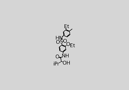 CCOc1cc(NC(=O)[C@@H](O)C(C)C)ccc1S(=O)(=O)Nc1ccc(C)c(CC)c1